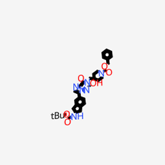 CC(C)(C)OC(=O)NC1Cc2ccc(-c3cnc4c(=O)n(CC5(O)CCN(C(=O)OCc6ccccc6)CC5)cnn34)cc2C1